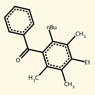 CCCCc1c(C)c(CC)c(C)c(C)c1C(=O)c1ccccc1